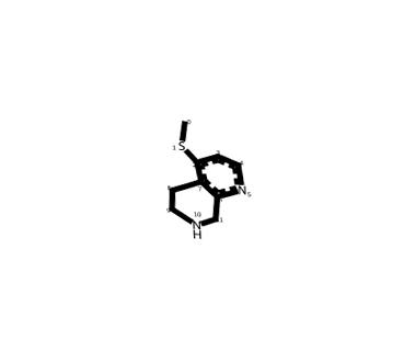 CSc1ccnc2c1CCNC2